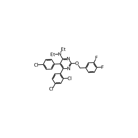 CCN(CC)c1nc(OCc2ccc(F)c(F)c2)nc(-c2ccc(Cl)cc2Cl)c1-c1ccc(Cl)cc1